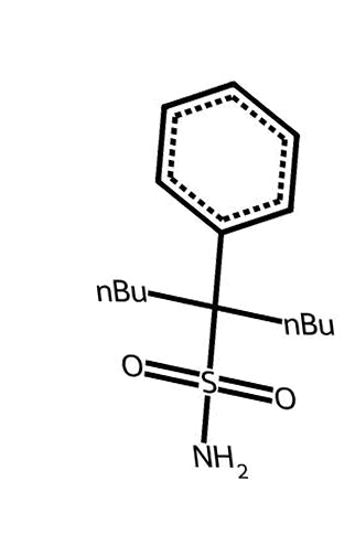 CCCCC(CCCC)(c1ccccc1)S(N)(=O)=O